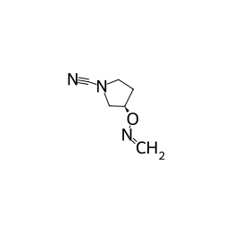 C=NO[C@@H]1CCN(C#N)C1